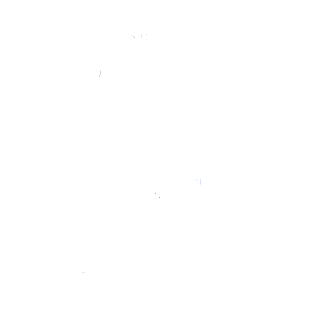 CC(=O)N[C@@H](C)c1ccc(OC2CCN(c3ncc(OCC(F)(F)F)cc3F)C2)cc1